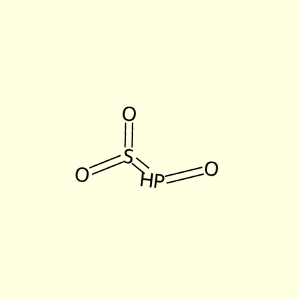 O=[PH]=S(=O)=O